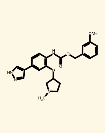 COc1cccc(COC(=O)Nc2ccc(-c3cn[nH]c3)cc2OC2CCN(C)C2)c1